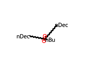 CCCCCCCCCCCCCCCCCCCCCC(=O)[C](CCCC)C(=O)CCCCCCCCCCCCCCCCCCCCC